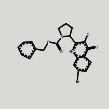 O=C(OCc1ccccc1)N1CCCC1c1[nH]c2cc(Br)ccc2c(=O)c1Cl